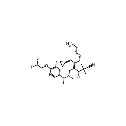 Cc1cc(C(C)N(C)C/C(C(=O)C(C)(C)C#N)=C(C=C2CC2)/C=C\N=C\N)cnc1OCC(F)F